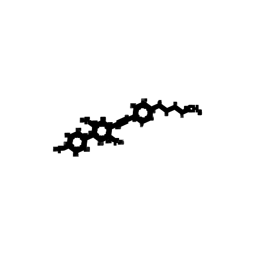 CCCCCc1ccc(C#Cc2cc(F)c(-c3ccc(F)cc3)cc2F)cc1